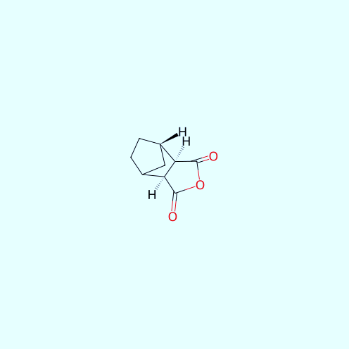 O=C1OC(=O)[C@H]2C3CC[C@@H](C3)[C@@H]12